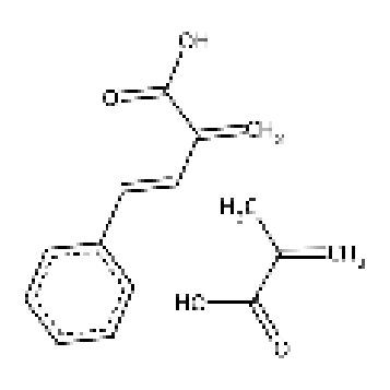 C=C(C)C(=O)O.C=C(C=Cc1ccccc1)C(=O)O